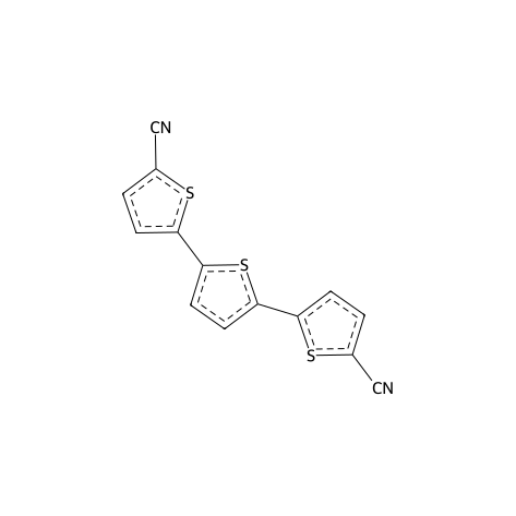 N#Cc1ccc(-c2ccc(-c3ccc(C#N)s3)s2)s1